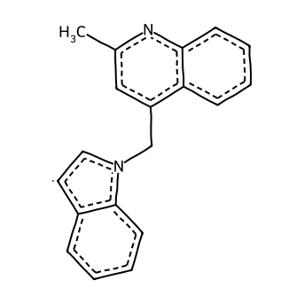 Cc1cc(Cn2c[c]c3ccccc32)c2ccccc2n1